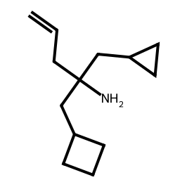 C=CCC(N)(CC1CCC1)CC1CC1